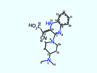 CN(C)C1CCN(C2=Nc3ccccc3N/C2=C(/C#N)C(=O)O)CC1